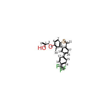 C=C(O)COc1ccc(SC(C)c2ccc(-c3ccc(C(F)(F)F)cc3)cc2)cc1C